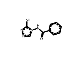 O=C(Nn1cnnc1S)c1ccccc1